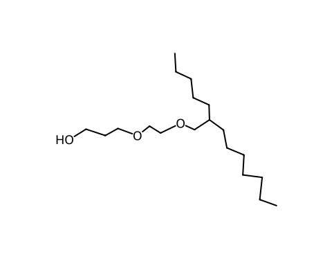 CCCCCCCC(CCCCC)COCCOCCCO